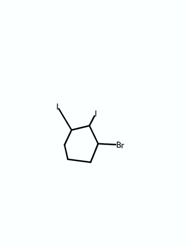 BrC1CCCC(I)C1I